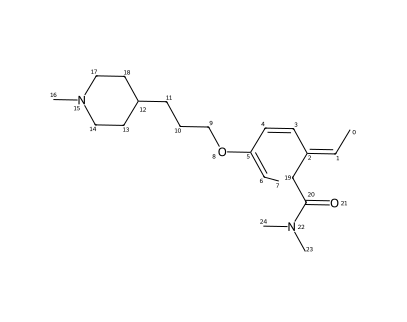 C\C=C(/C=C\C(=C/C)OCCCC1CCN(C)CC1)CC(=O)N(C)C